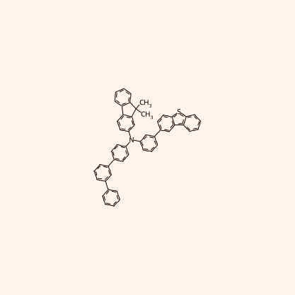 CC1(C)c2ccccc2-c2ccc(N(c3ccc(-c4cccc(-c5ccccc5)c4)cc3)c3cccc(-c4ccc5sc6ccccc6c5c4)c3)cc21